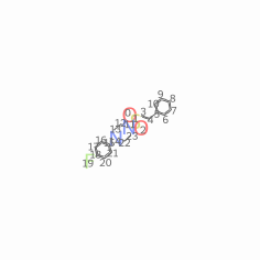 O=S(=O)(C=Cc1ccccc1)N1CCN(c2ccc(F)cc2)CC1